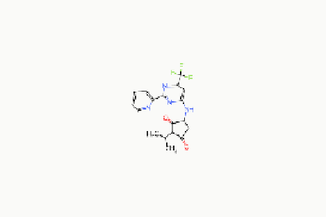 CC(C)C1C(=O)CC(Nc2cc(C(F)(F)F)nc(-c3ccccn3)n2)C1=O